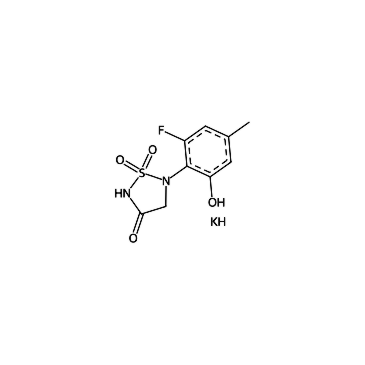 Cc1cc(O)c(N2CC(=O)NS2(=O)=O)c(F)c1.[KH]